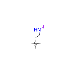 C[Si](C)(C)CCNI